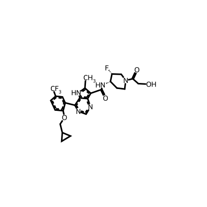 Cc1[nH]c2c(-c3cc(C(F)(F)F)ccc3OCC3CC3)ncnc2c1C(=O)N[C@H]1CCN(C(=O)CO)C[C@H]1F